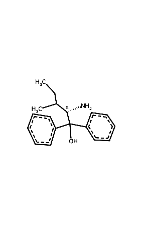 CCC(C)[C@H](N)C(O)(c1ccccc1)c1ccccc1